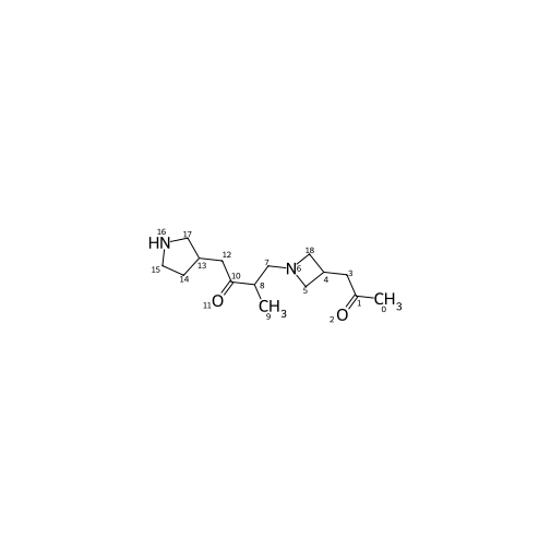 CC(=O)CC1CN(CC(C)C(=O)CC2CCNC2)C1